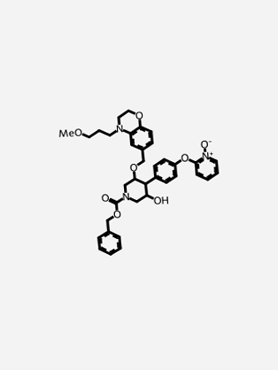 COCCCN1CCOc2ccc(COC3CN(C(=O)OCc4ccccc4)CC(O)C3c3ccc(Oc4cccc[n+]4[O-])cc3)cc21